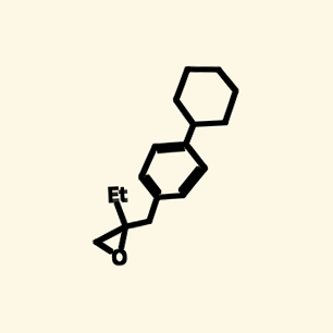 CCC1(Cc2ccc(C3CCCCC3)cc2)CO1